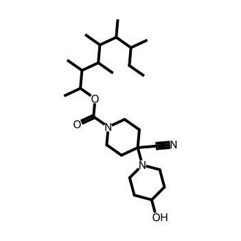 CCC(C)C(C)C(C)C(C)C(C)C(C)OC(=O)N1CCC(C#N)(N2CCC(O)CC2)CC1